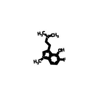 CN(C)CCc1cn(C)c2ccc(F)c(O)c12